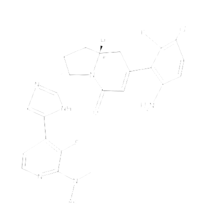 CC(=O)N(C)c1nccc(-c2cnc([C@@H]3CC[C@@H]4CC(c5c(N)ccc(Cl)c5F)=CC(=O)N43)[nH]2)c1F